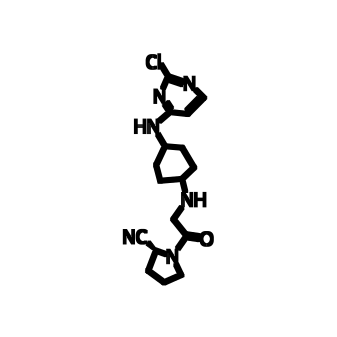 N#C[C@@H]1CCCN1C(=O)CNC1CCC(Nc2ccnc(Cl)n2)CC1